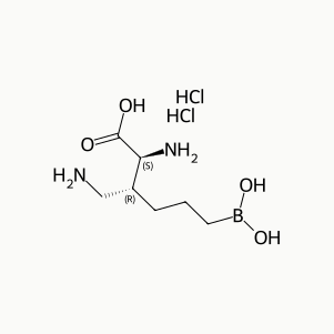 Cl.Cl.NC[C@@H](CCCB(O)O)[C@H](N)C(=O)O